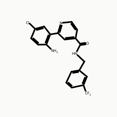 Nc1ccc(Cl)cc1-c1cc(C(=O)NCc2cccc(C(F)(F)F)c2)ccn1